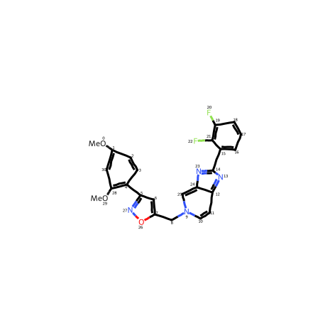 COc1ccc(-c2cc(Cn3ccc4nc(-c5cccc(F)c5F)nc-4c3)on2)c(OC)c1